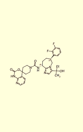 CCC(C)(O)c1cnc2n1C[C@H](c1cccc(F)c1F)CC[C@H]2NC(=O)N1CCC2(CC1)OC(=O)Nc1ncccc12